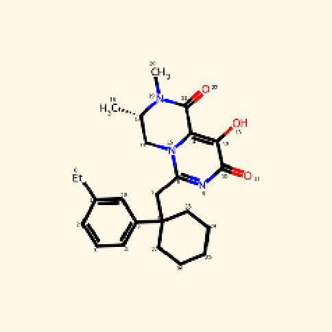 CCc1cccc(C2(Cc3nc(=O)c(O)c4n3C[C@H](C)N(C)C4=O)CCCCC2)c1